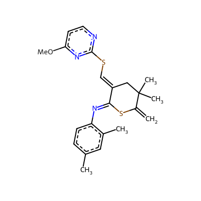 C=C1SC(=N\c2ccc(C)cc2C)/C(=C/Sc2nccc(OC)n2)CC1(C)C